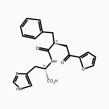 O=C(C[C@H](Cc1ccccc1)C(=O)N[C@@H](Cc1c[nH]cn1)C(=O)O)c1ccco1